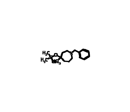 C[Si](C)(C)OC1(C#N)CCCN(Cc2ccccc2)CC1